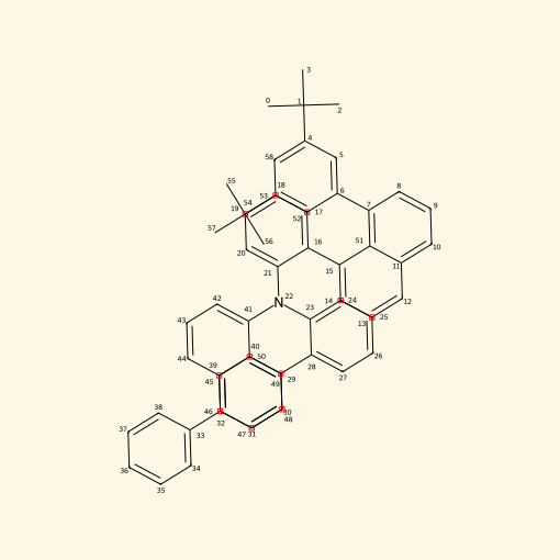 CC(C)(C)c1cc(-c2cccc3cccc(-c4ccccc4N(c4ccccc4-c4ccc(-c5ccccc5)cc4)c4cccc5ccccc45)c23)cc(C(C)(C)C)c1